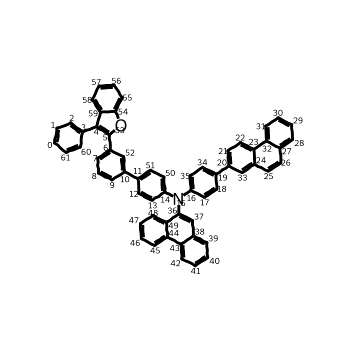 c1ccc(-c2c(-c3cccc(-c4ccc(N(c5ccc(-c6ccc7c(ccc8ccccc87)c6)cc5)c5cc6ccccc6c6ccccc56)cc4)c3)oc3ccccc23)cc1